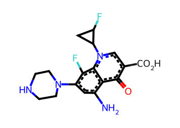 Nc1cc(N2CCNCC2)c(F)c2c1c(=O)c(C(=O)O)cn2C1CC1F